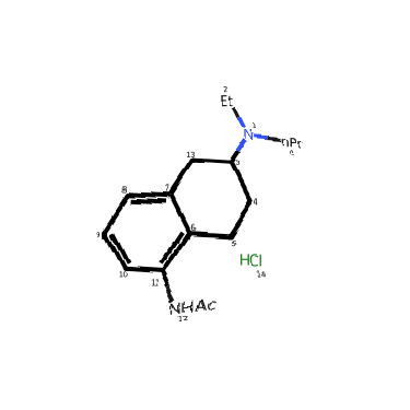 CCCN(CC)C1CCc2c(cccc2NC(C)=O)C1.Cl